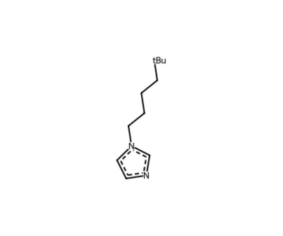 CC(C)(C)CCCCn1ccnc1